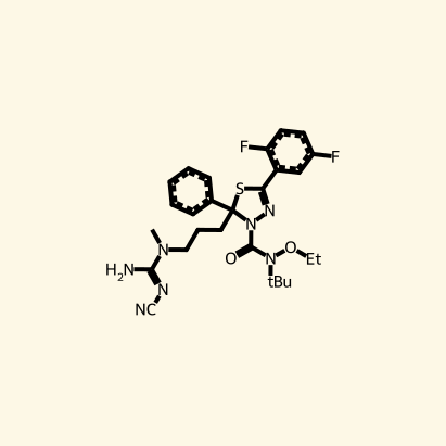 CCON(C(=O)N1N=C(c2cc(F)ccc2F)SC1(CCCN(C)C(N)=NC#N)c1ccccc1)C(C)(C)C